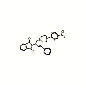 O=C(Cl)c1cnc(N2CCN(CC(/C=C/c3ccccc3)N3C(=O)c4ccccc4C3=O)CC2)nc1